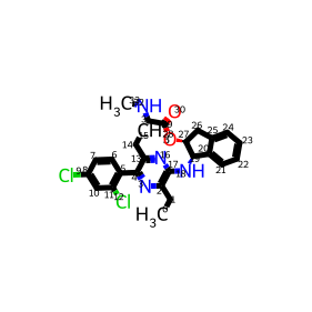 CCc1nc(-c2ccc(Cl)cc2Cl)c(CC)nc1N[C@@H]1c2ccccc2C[C@@H]1OC(=O)CNC